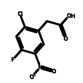 O=C(O)Cc1cc([N+](=O)[O-])c(F)cc1Cl